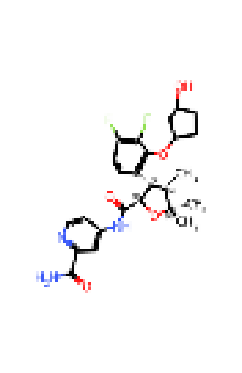 C[C@H]1[C@@H](c2ccc(F)c(F)c2OC2CCC(O)C2)[C@H](C(=O)Nc2ccnc(C(N)=O)c2)O[C@@]1(C)C(F)(F)F